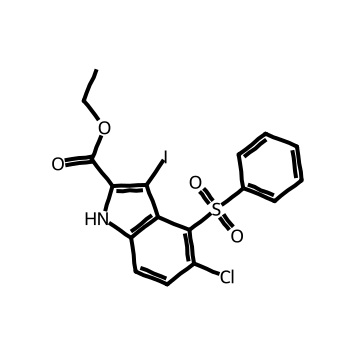 CCOC(=O)c1[nH]c2ccc(Cl)c(S(=O)(=O)c3ccccc3)c2c1I